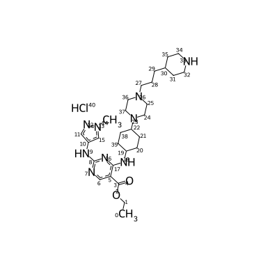 CCOC(=O)c1cnc(Nc2cnn(C)c2)nc1NC1CCC(N2CCN(CCCC3CCNCC3)CC2)CC1.Cl